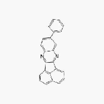 c1ccc(-c2ccc3nc4c(nc3c2)-c2cccc3cccc-4c23)cc1